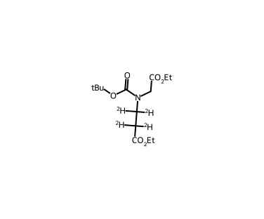 [2H]C([2H])(C(=O)OCC)C([2H])([2H])N(CC(=O)OCC)C(=O)OC(C)(C)C